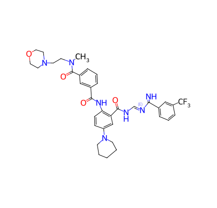 CN(CCN1CCOCC1)C(=O)c1cccc(C(=O)Nc2ccc(N3CCCCC3)cc2C(=O)N/C=N/C(=N)c2cccc(C(F)(F)F)c2)c1